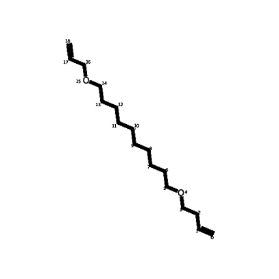 C=CCCOCCCCC[CH]CCCCOCC=C